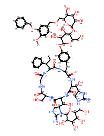 CCC(c1ccccc1)C1NC(=O)CNC(=O)C(CO)NC(=O)C(C(O)C2CNC(=N)N2C2OC(CO)C(O)C(O)C2O)NC(=O)C(C(O)C2CNC(=N)N2)NC(=O)C(Cc2ccc(OC3OC(CO)C(OC4OC(COCc5ccc(OC)c(OCc6ccccc6)c5)C(O)C(O)C4O)C(O)C3O)cc2)NC1=O